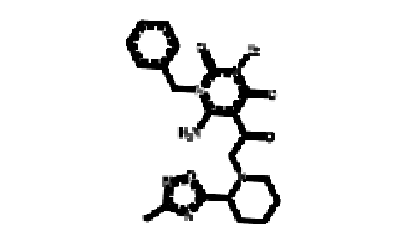 CCn1c(=O)c(C(=O)CN2CCCCC2c2nc(C)no2)c(N)n(Cc2ccccc2)c1=O